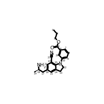 CCCOC(=O)c1cccc(N2CCc3cc(C[C@@H](C)N)cc(C#N)c32)c1